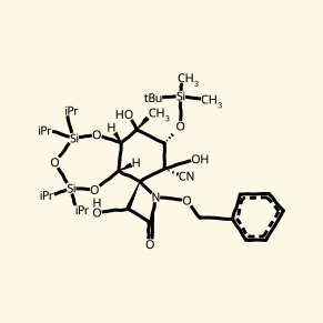 CC(C)[Si]1(C(C)C)O[C@@H]2[C@H](O[Si](C(C)C)(C(C)C)O1)[C@](C)(O)[C@H](O[Si](C)(C)C(C)(C)C)[C@](O)(C#N)[C@@]21C(O)C(=O)N1OCc1ccccc1